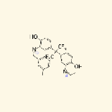 C/C=N\c1cc(C(c2ccc(O)c(/N=C\c3cccc(C)c3)c2)(C(F)(F)F)C(F)(F)F)ccc1O